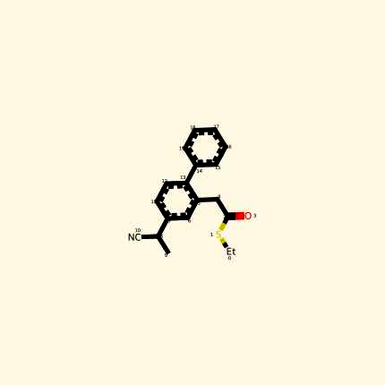 CCSC(=O)Cc1cc(C(C)C#N)ccc1-c1ccccc1